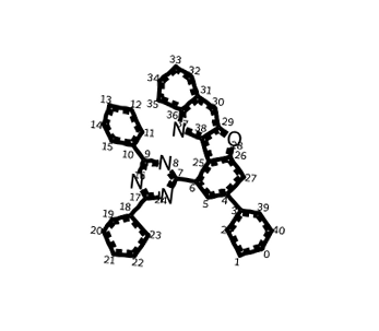 c1ccc(-c2cc(-c3nc(-c4ccccc4)nc(-c4ccccc4)n3)c3c(c2)oc2cc4ccccc4nc23)cc1